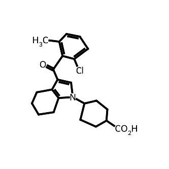 Cc1cccc(Cl)c1C(=O)c1cn(C2CCC(C(=O)O)CC2)c2c1CCCC2